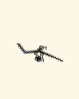 CCCCCCCCC=CCCCCCCCC(=O)CC[N+](C)(CCO)CCC(=O)CCCCCCC/C=C\CCCCCCCC.O=S(=O)(O)O